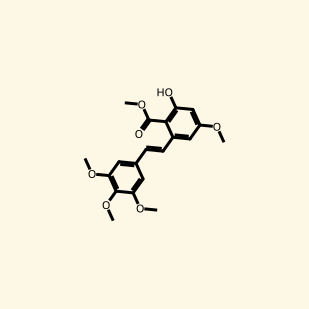 COC(=O)c1c(O)cc(OC)cc1/C=C/c1cc(OC)c(OC)c(OC)c1